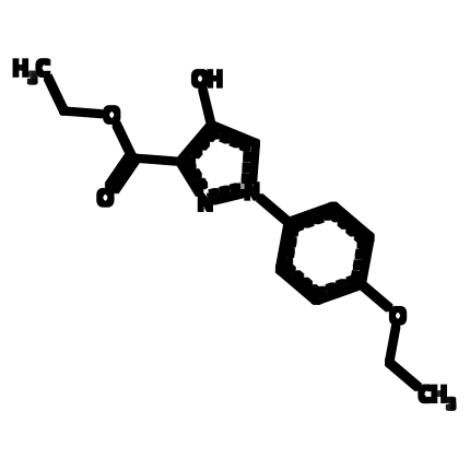 CCOC(=O)c1nn(-c2ccc(OCC)cc2)cc1O